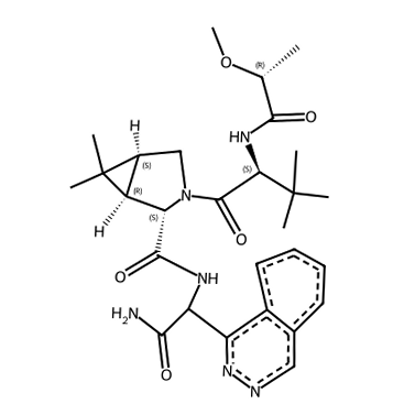 CO[C@H](C)C(=O)N[C@H](C(=O)N1C[C@H]2[C@@H]([C@H]1C(=O)NC(C(N)=O)c1nncc3ccccc13)C2(C)C)C(C)(C)C